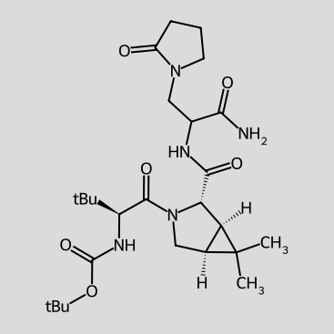 CC(C)(C)OC(=O)N[C@H](C(=O)N1C[C@H]2[C@@H]([C@H]1C(=O)NC(CN1CCCC1=O)C(N)=O)C2(C)C)C(C)(C)C